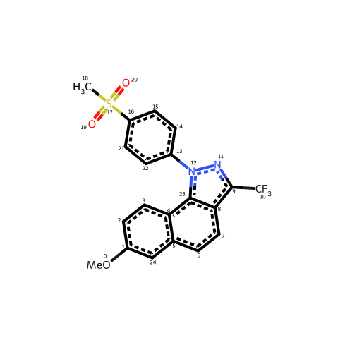 COc1ccc2c(ccc3c(C(F)(F)F)nn(-c4ccc(S(C)(=O)=O)cc4)c32)c1